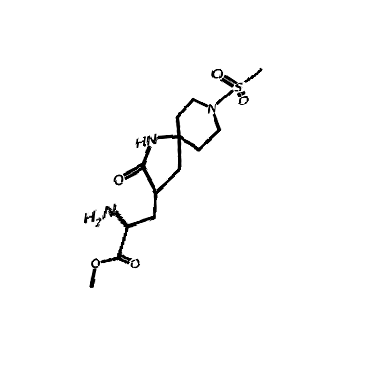 COC(=O)C(N)CC1CC2(CCN(S(C)(=O)=O)CC2)NC1=O